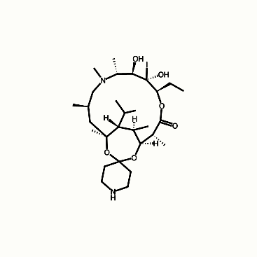 CC[C@H]1OC(=O)[C@H](C)[C@H]2OC3(CCNCC3)O[C@@](C)(C[C@@H](C)CN(C)[C@H](C)[C@@H](O)[C@@]1(O)I)[C@H](C(C)C)[C@H]2C